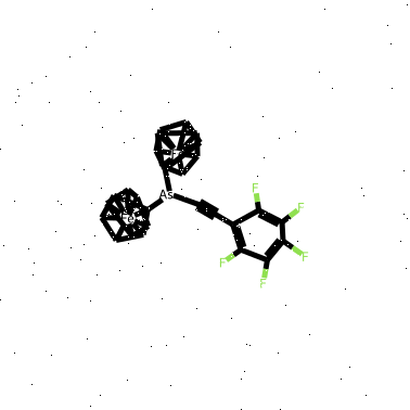 Fc1c(F)c(F)c(C#C[As]([C]23[CH]4[CH]5[CH]6[CH]2[Fe]56432789[CH]3[CH]2[CH]7[CH]8[CH]39)[C]23[CH]4[CH]5[CH]6[CH]2[Fe]56432789[CH]3[CH]2[CH]7[CH]8[CH]39)c(F)c1F